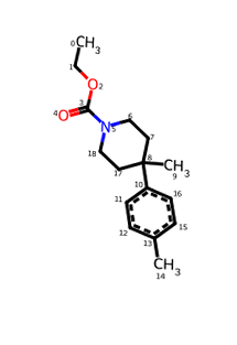 CCOC(=O)N1CCC(C)(c2ccc(C)cc2)CC1